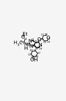 CCOC[C@H](C)Nc1ncc2c(OC3CCOCC3)ncc([C@H]3CC[C@H](O)CC3)c2n1